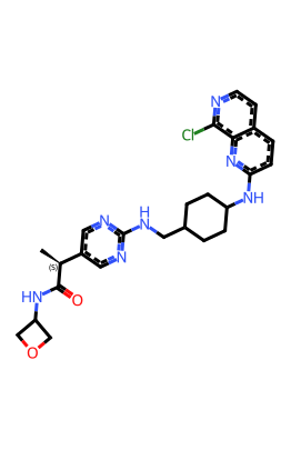 C[C@H](C(=O)NC1COC1)c1cnc(NCC2CCC(Nc3ccc4ccnc(Cl)c4n3)CC2)nc1